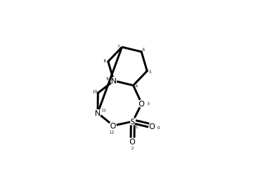 O=S1(=O)OC2CCC3CN2CN3O1